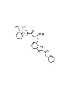 CC(C)(CN(Cc1ccccc1)C(=O)CC(Cc1cccc2nc([S+]([O-])Cc3ccccn3)[nH]c12)C(=O)O)SN=O